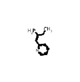 CC/C(P)=C\c1ccccn1